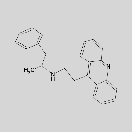 CC(Cc1ccccc1)NCCc1c2ccccc2nc2ccccc12